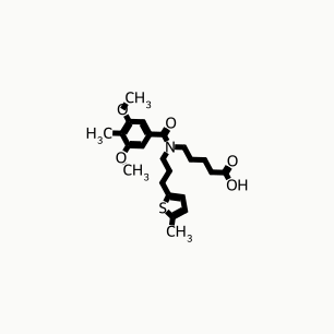 COc1cc(C(=O)N(CCCCC(=O)O)CCCc2ccc(C)s2)cc(OC)c1C